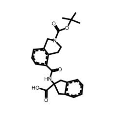 CC(C)(C)OC(=O)N1CCc2c(cccc2C(=O)NC2(C(=O)O)Cc3ccccc3C2)C1